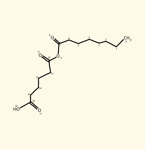 CCCCCCCC(=O)OC(=O)CCCCC(=O)O